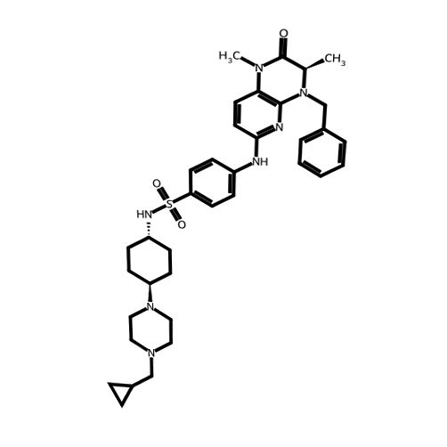 C[C@@H]1C(=O)N(C)c2ccc(Nc3ccc(S(=O)(=O)N[C@H]4CC[C@H](N5CCN(CC6CC6)CC5)CC4)cc3)nc2N1Cc1ccccc1